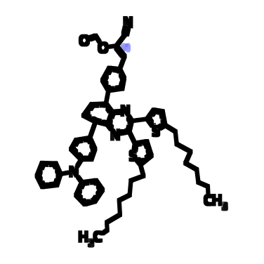 CCCCCCCCc1ccc(-c2nc3c(-c4ccc(/C=C(/C#N)OC=O)cc4)ccc(-c4ccc(N(c5ccccc5)c5ccccc5)cc4)c3nc2-c2ccc(CCCCCCCC)s2)s1